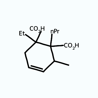 CCCC1(C(=O)O)C(C)C=CCC1(CC)C(=O)O